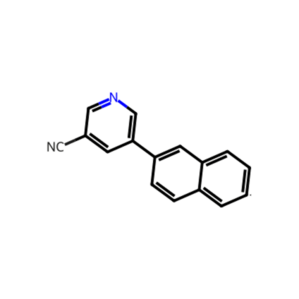 N#Cc1cncc(-c2ccc3c[c]ccc3c2)c1